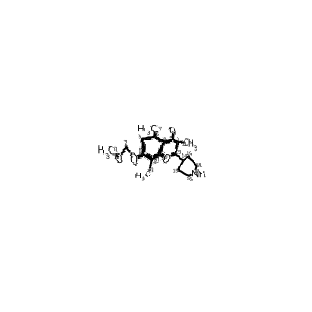 COCOc1cc(C)c2c(=O)c(C)c(C3CCNCC3)oc2c1C